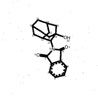 O=C1c2ccccc2C(=O)N1C1C2CC3CC(C2)CC1(O)C3